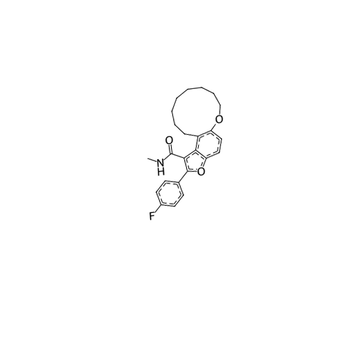 CNC(=O)c1c(-c2ccc(F)cc2)oc2ccc3c(c12)CCCCCCCCO3